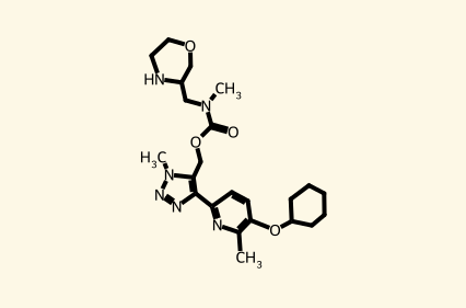 Cc1nc(-c2nnn(C)c2COC(=O)N(C)CC2COCCN2)ccc1OC1CCCCC1